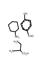 NC1CCCCC1.NCC(N)C(=O)O.O=Cc1ccc(O)cc1